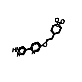 O=S1(=O)CCC(CCOc2ccc(-c3cn[nH]c3)nc2)CC1